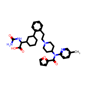 Cc1ccc(N(C(=O)c2ccco2)C2CCN(CCc3ccccc3C3CCCC(C(NC(N)=O)C(=O)O)C3)CC2)nc1